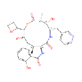 C[C@H]1CC(=O)C(C2CCO2)OC(=O)[C@H](C)[C@H](O)[C@H](Cc2cccnc2)NC(=O)[C@H]1NC(=O)c1ccccc1O